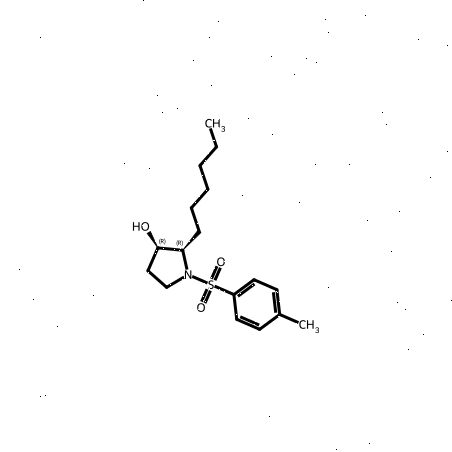 CCCCCC[C@@H]1[C@H](O)CCN1S(=O)(=O)c1ccc(C)cc1